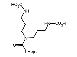 CCCCCCCC(=O)N(CCCNC(=O)O)CCCNC(=O)O